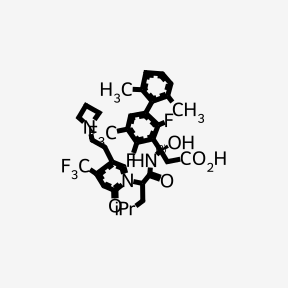 Cc1cccc(C)c1-c1cc(C(F)(F)F)c(F)c([C@](O)(CC(=O)O)NC(=O)C(CC(C)C)n2cc(CCN3CCC3)c(C(F)(F)F)cc2=O)c1F